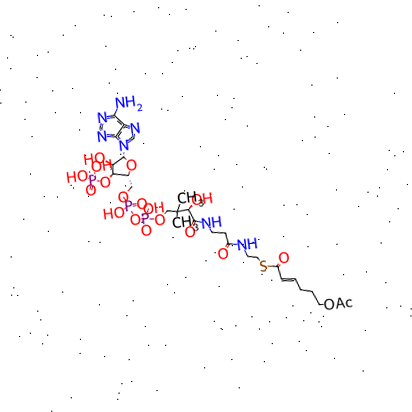 CC(=O)OCCCC=CC(=O)SCCNC(=O)CCNC(=O)[C@H](O)C(C)(C)COP(=O)(O)OP(=O)(O)OC[C@H]1O[C@@H](n2cnc3c(N)ncnc32)[C@H](O)[C@@H]1OP(=O)(O)O